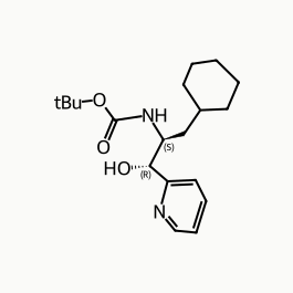 CC(C)(C)OC(=O)N[C@@H](CC1CCCCC1)[C@@H](O)c1ccccn1